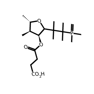 C=P(C)(C)C(C)(C)C(C)(C)C1O[C@@H](C)[C@H](C)[C@@H]1OC(=O)CCC(=O)O